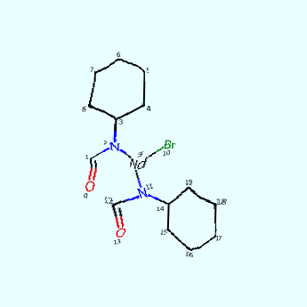 O=C[N](C1CCCCC1)[Nd]([Br])[N](C=O)C1CCCCC1